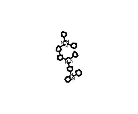 c1ccc(-c2cc(-c3cccc(-c4cccc(-c5nc(-c6ccccc6)nc(-c6ccccc6)n5)c4)c3)nc(-c3ccc(-n4c(-c5ccccc5)nc5ccccc54)cc3)n2)cc1